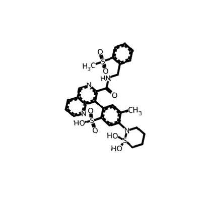 Cc1cc(-c2c(C(=O)NCc3ccccc3S(C)(=O)=O)ncc3cccnc23)c(S(=O)(=O)O)cc1N1CCCCS1(O)O